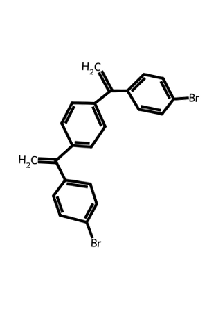 C=C(c1ccc(Br)cc1)c1ccc(C(=C)c2ccc(Br)cc2)cc1